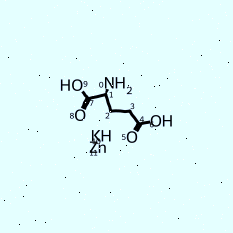 N[C@@H](CCC(=O)O)C(=O)O.[KH].[Zn]